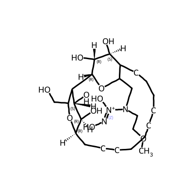 COCCN(CC1O[C@@H]2C3C(CO)O[C@H](CCCCCCCCCCC1[C@H](O)[C@H]2O)[C@H](O)[C@H]3O)/[N+](O)=N/O